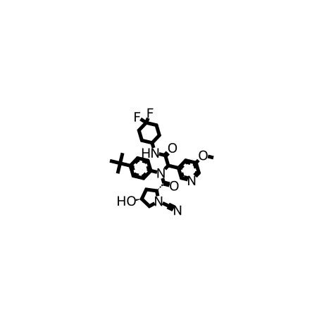 COc1cncc(C(C(=O)NC2CCC(F)(F)CC2)N(C(=O)[C@H]2C[C@@H](O)CN2C#N)c2ccc(C(C)(C)C)cc2)c1